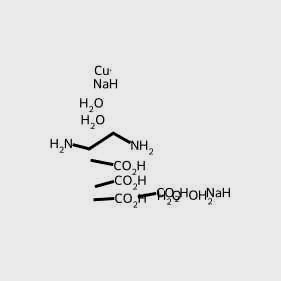 CC(=O)O.CC(=O)O.CC(=O)O.CC(=O)O.NCCN.O.O.O.O.[Cu].[NaH].[NaH]